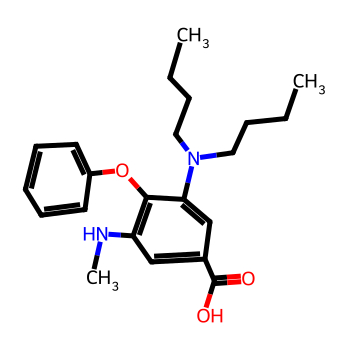 CCCCN(CCCC)c1cc(C(=O)O)cc(NC)c1Oc1ccccc1